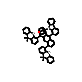 CC1(C)c2ccccc2Oc2c(-c3cccc4c(-c5cccc6c7ccccc7n(-c7ccccc7)c56)c5cccc(-c6cccc7c6Oc6ccccc6C7(C)C)c5cc34)cccc21